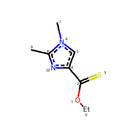 CCOC(=S)c1cn(C)c(C)n1